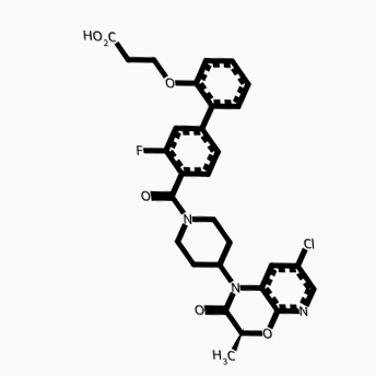 C[C@@H]1Oc2ncc(Cl)cc2N(C2CCN(C(=O)c3ccc(-c4ccccc4OCCC(=O)O)cc3F)CC2)C1=O